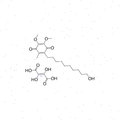 COC1=C(OC)C(=O)C(CCCCCCCCCCO)=C(C)C1=O.O=C(O)/C(O)=C(\O)C(=O)O